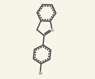 Brc1ccc(C2=Nc3ccccc3C2)cc1